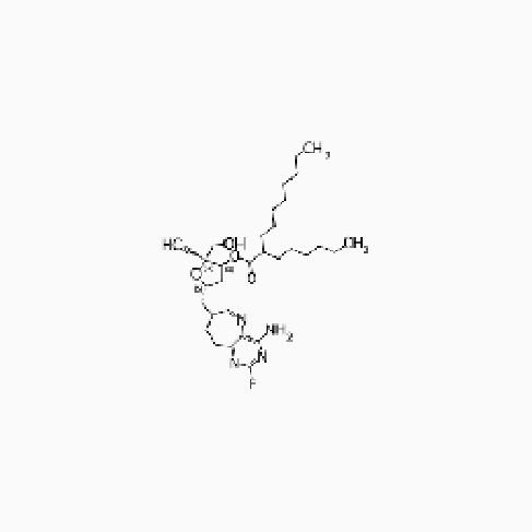 C#C[C@]1(CO)O[C@@H](CC2C=Nc3c(N)nc(F)nc3CC2)C[C@@H]1OC(=O)C(CCCCCC)CCCCCCCC